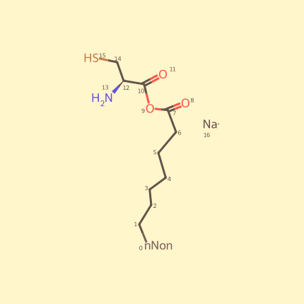 CCCCCCCCCCCCCCCC(=O)OC(=O)[C@@H](N)CS.[Na]